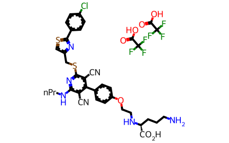 CCCNc1nc(SCc2csc(-c3ccc(Cl)cc3)n2)c(C#N)c(-c2ccc(OCCN[C@@H](CCCN)C(=O)O)cc2)c1C#N.O=C(O)C(F)(F)F.O=C(O)C(F)(F)F